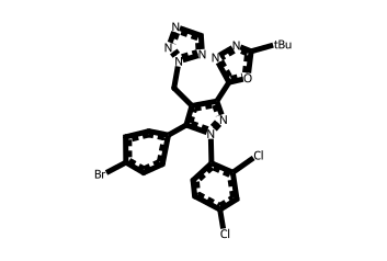 CC(C)(C)c1nnc(-c2nn(-c3ccc(Cl)cc3Cl)c(-c3ccc(Br)cc3)c2Cn2ncnn2)o1